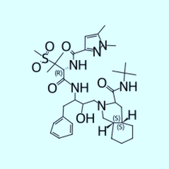 Cc1cc(C(=O)N[C@H](C(=O)NC(Cc2ccccc2)C(O)CN2C[C@H]3CCCC[C@H]3CC2C(=O)NC(C)(C)C)C(C)(C)S(C)(=O)=O)nn1C